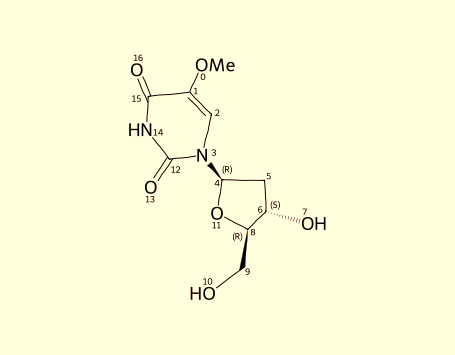 COc1cn([C@H]2C[C@H](O)[C@@H](CO)O2)c(=O)[nH]c1=O